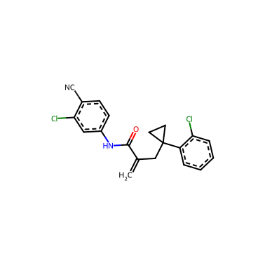 C=C(CC1(c2ccccc2Cl)CC1)C(=O)Nc1ccc(C#N)c(Cl)c1